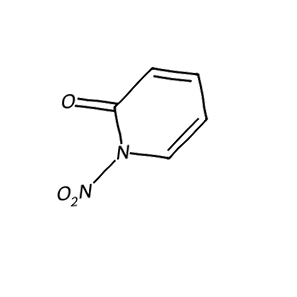 O=c1ccccn1[N+](=O)[O-]